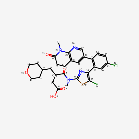 CN(C(=O)[C@@H](CC(=O)O)CC1CCOCC1)c1nc(-c2cc(Cl)ccc2-c2cnc3c(c2)CCC(=O)N3C)c(F)s1